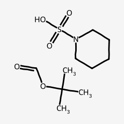 CC(C)(C)OC=O.O=S(=O)(O)N1CCCCC1